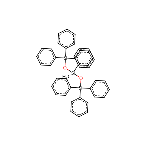 C[Si](O[Si](c1ccccc1)(c1ccccc1)c1ccccc1)(O[Si](c1ccccc1)(c1ccccc1)c1ccccc1)c1ccccc1